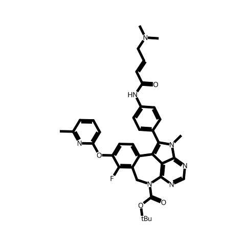 Cc1cccc(Oc2ccc3c(c2F)CN(C(=O)OC(C)(C)C)c2ncnc4c2c-3c(-c2ccc(NC(=O)/C=C/CN(C)C)cc2)n4C)n1